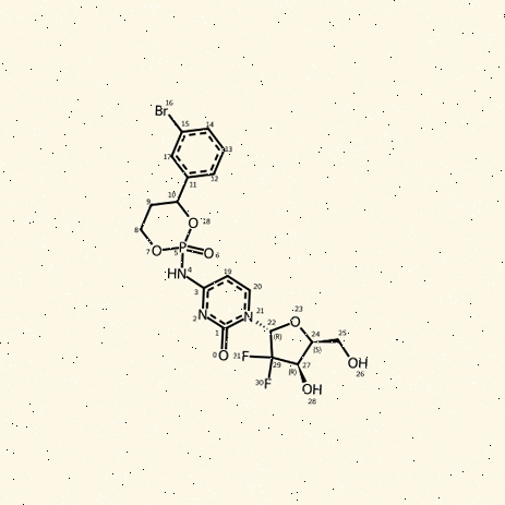 O=c1nc(NP2(=O)OCCC(c3cccc(Br)c3)O2)ccn1[C@@H]1O[C@@H](CO)[C@@H](O)C1(F)F